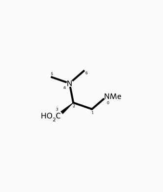 CNC[C@@H](C(=O)O)N(C)C